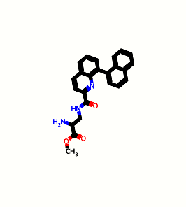 COC(=O)C(N)CNC(=O)c1ccc2cccc(-c3cccc4ccccc34)c2n1